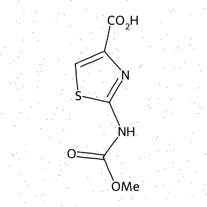 COC(=O)Nc1nc(C(=O)O)cs1